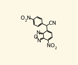 N#CC(c1ccc([N+](=O)[O-])cc1)c1ccc([N+](=O)[O-])c2nonc12